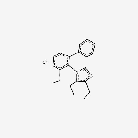 CCc1cccc(-c2ccccc2)c1-[n+]1csc(CC)c1CC.[Cl-]